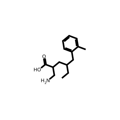 CCC(Cc1ccccc1C)CC(CN)C(=O)O